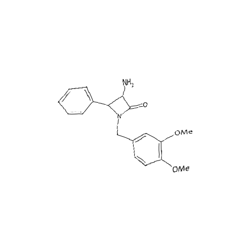 COc1ccc(CN2C(=O)C(N)C2c2ccccc2)cc1OC